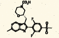 Cc1ccn2c(C[C@H]3CN(C(=O)O)CCO3)c(-c3c(F)cc(S(C)(=O)=O)cc3F)nc2c1